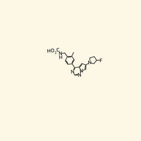 Cc1cc(-c2ncnn3cc(N4CCC(F)C4)cc23)ccc1CNC(=O)O